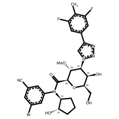 CO[C@@H]1[C@@H](n2cc(-c3cc(F)c(C)c(F)c3)nn2)[C@@H](O)[C@@H](CO)O[C@H]1C(=O)N(c1cc(Br)cc(C#N)c1)[C@H]1CCC[C@@H]1O